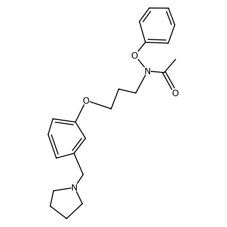 CC(=O)N(CCCOc1cccc(CN2CCCC2)c1)Oc1ccccc1